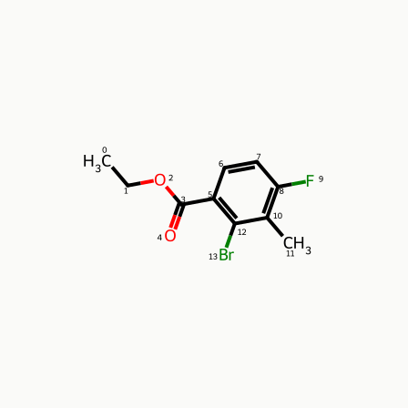 CCOC(=O)c1ccc(F)c(C)c1Br